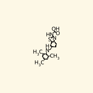 Cc1cc(C)c(NCc2ccc3nc(NC(=O)O)sc3c2)c(C)c1